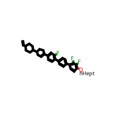 C=CC1CCC(C2CC=C(c3ccc(-c4ccc(-c5ccc(OCCCCCCC)c(F)c5F)cc4)c(F)c3)CC2)CC1